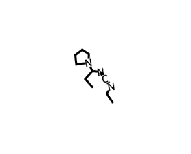 CCN=C=NC(CC)N1CCCC1